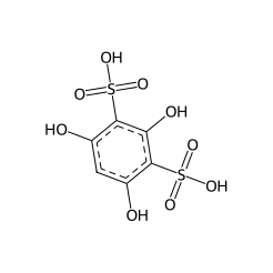 O=S(=O)(O)c1c(O)cc(O)c(S(=O)(=O)O)c1O